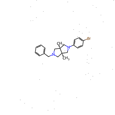 C[C@@]12CN(Cc3ccccc3)C[C@]1(C)CN(c1ccc(Br)cc1)C2